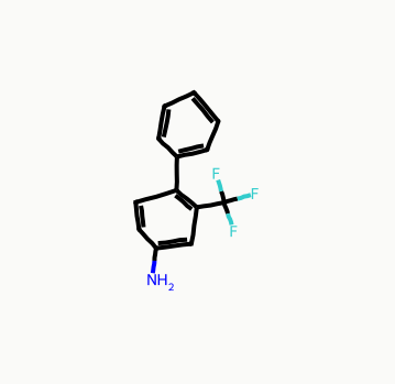 Nc1ccc(-c2ccccc2)c(C(F)(F)F)c1